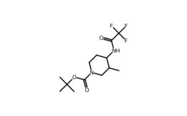 CC1CN(C(=O)OC(C)(C)C)CCC1NC(=O)C(F)(F)F